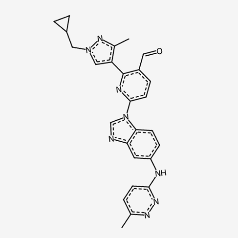 Cc1ccc(Nc2ccc3c(c2)ncn3-c2ccc(C=O)c(-c3cn(CC4CC4)nc3C)n2)nn1